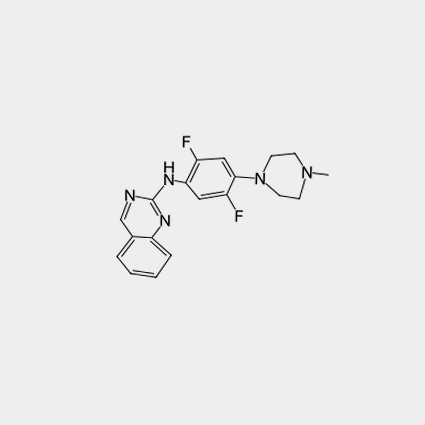 CN1CCN(c2cc(F)c(Nc3ncc4ccccc4n3)cc2F)CC1